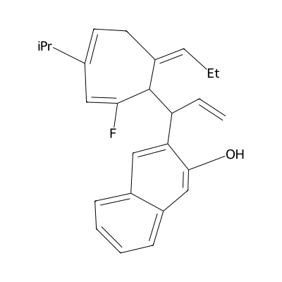 C=CC(c1cc2ccccc2cc1O)C1C(F)=CC(C(C)C)=CC/C1=C/CC